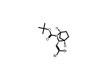 CC(C)(C)OC(=O)N1[C@@H]2CC[C@@H](C2)[C@H]1C=C(Br)Br